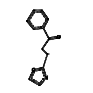 O=C(C[CH]c1ncco1)c1ccccc1